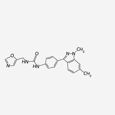 Cc1ccc2c(-c3ccc(NC(=O)NCc4cnco4)cc3)nn(C)c2c1